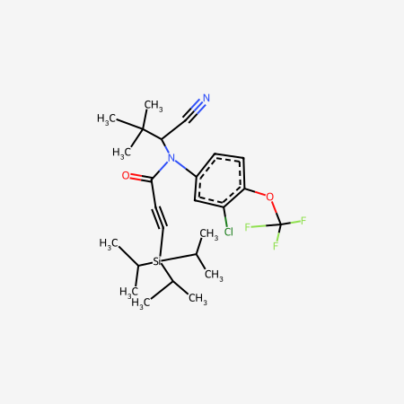 CC(C)[Si](C#CC(=O)N(c1ccc(OC(F)(F)F)c(Cl)c1)C(C#N)C(C)(C)C)(C(C)C)C(C)C